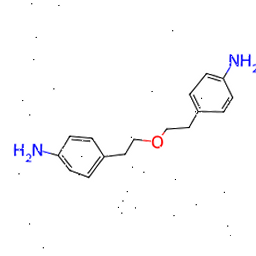 Nc1ccc(CCOCCc2ccc(N)cc2)cc1